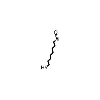 O=C=NCCCCCCCCS